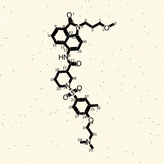 COCCCN1C(=O)c2cccc3c(NC(=O)C4CCCN(S(=O)(=O)c5ccc(OCCN(C)C)c(C)c5)C4)ccc1c23